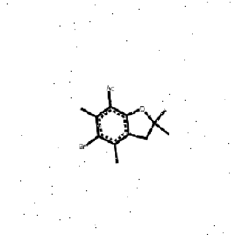 CC(=O)c1c(C)c(Br)c(C)c2c1OC(C)(C)C2